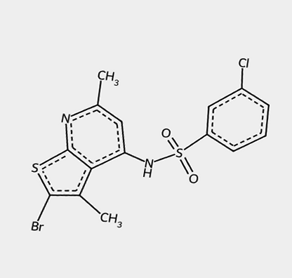 Cc1cc(NS(=O)(=O)c2cccc(Cl)c2)c2c(C)c(Br)sc2n1